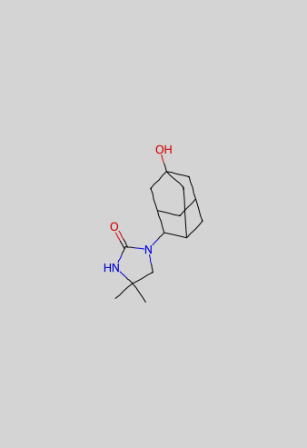 CC1(C)CN(C2C3CC4CC2CC(O)(C4)C3)C(=O)N1